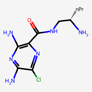 CCC[C@H](N)CNC(=O)c1nc(Cl)c(N)nc1N